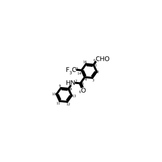 O=Cc1ccc(C(=O)Nc2c[c]ccc2)c(C(F)(F)F)c1